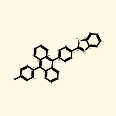 Cc1ccc(-c2c3ccccc3c(-c3ccc(-c4nc5ccccc5o4)cc3)c3ccccc23)cc1